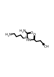 C#CCCC(=O)N[C@@H](CCCCN)C(N)=O